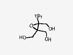 CCCC1(CO)OC1(CO)CO